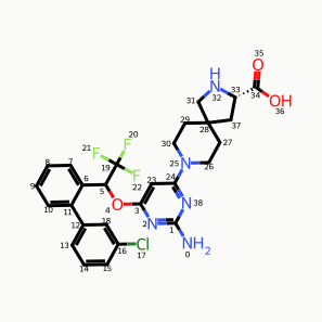 Nc1nc(OC(c2ccccc2-c2cccc(Cl)c2)C(F)(F)F)cc(N2CCC3(CC2)CN[C@H](C(=O)O)C3)n1